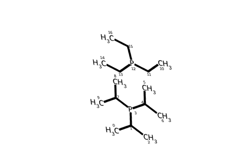 CC(C)P(C(C)C)C(C)C.CCP(CC)CC